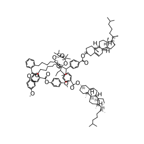 CCC(c1ccc(C(=O)O[C@H]2CC[C@@]3(C)C(=CC[C@H]4[C@@H]5CC[C@H]([C@H](C)CCCC(C)C)[C@@]5(C)CC[C@@H]43)C2)cc1)[Si]1(C(CC)c2ccc(C(=O)O[C@H]3CC[C@@]4(C)C(=CC[C@H]5[C@@H]6CC[C@H]([C@H](C)CCCC(C)C)[C@@]6(C)CC[C@@H]54)C3)cc2)O[Si](C)(C)O[Si](C)(C)O[Si](CCCCc2ccccc2C(=O)Oc2ccc(OC)cc2)(CCCCc2ccccc2C(=O)Oc2ccc(OC)cc2)O1